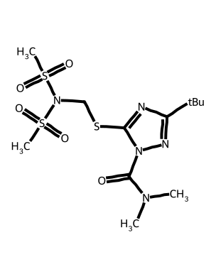 CN(C)C(=O)n1nc(C(C)(C)C)nc1SCN(S(C)(=O)=O)S(C)(=O)=O